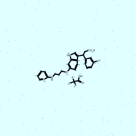 O=C(O)C(F)(F)F.O=C(O)CC(c1cccc(Cl)c1)c1c[nH]c2cc(OCCCNc3ccccn3)ccc12